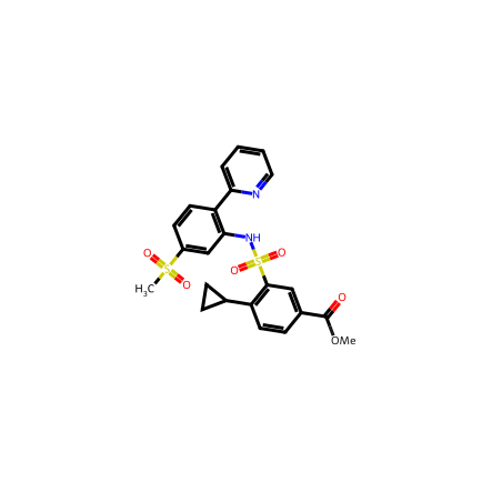 COC(=O)c1ccc(C2CC2)c(S(=O)(=O)Nc2cc(S(C)(=O)=O)ccc2-c2ccccn2)c1